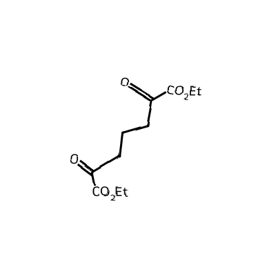 CCOC(=O)C(=O)CCCC(=O)C(=O)OCC